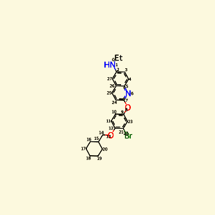 CCNc1ccc2nc(Oc3ccc(OCC4CCCCC4)c(Br)c3)ccc2c1